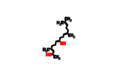 CC(C)=CCCC(C)=CCCC(O)=CCCC(C)=CC(C)O